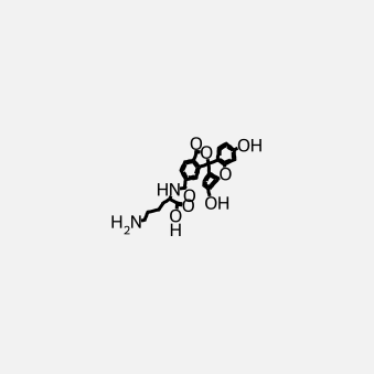 NCCCCC(NC(=O)c1ccc2c(c1)C1(OC2=O)c2ccc(O)cc2Oc2cc(O)ccc21)C(=O)O